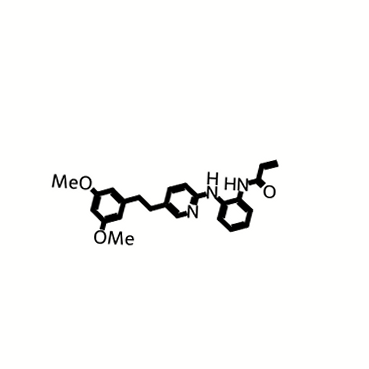 C=CC(=O)Nc1ccccc1Nc1ccc(CCc2cc(OC)cc(OC)c2)cn1